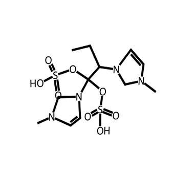 CCC(N1C=CN(C)C1)C(OS(=O)(=O)O)(OS(=O)(=O)O)N1C=CN(C)C1